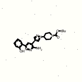 CC(C)(C)OC(=O)N1CCC(n2cc(-c3cc(-c4ccccc4O)nnc3N)cn2)CC1